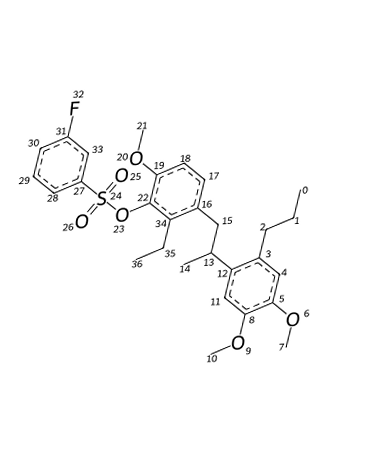 CCCc1cc(OC)c(OC)cc1C(C)Cc1ccc(OC)c(OS(=O)(=O)c2cccc(F)c2)c1CC